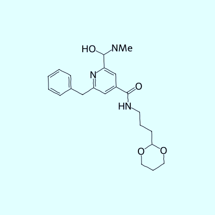 CNC(O)c1cc(C(=O)NCCCC2OCCCO2)cc(Cc2ccccc2)n1